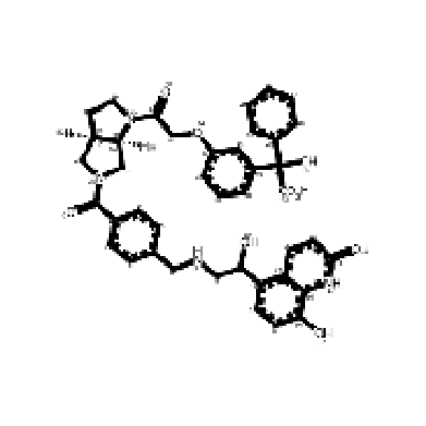 O=C(c1ccc(CNCC(O)c2ccc(O)c3[nH]c(=O)ccc23)cc1)N1C[C@H]2CCN(C(=O)COc3cccc(C(O)(C(=O)O)c4ccccc4)c3)[C@H]2C1